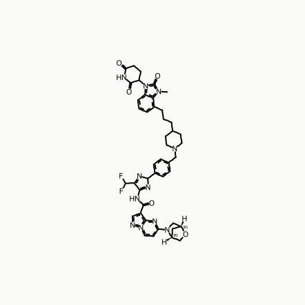 Cn1c(=O)n(C2CCC(=O)NC2=O)c2cccc(CCCC3CCN(Cc4ccc(C5N=C(NC(=O)c6cnn7ccc(N8C[C@H]9C[C@@H]8CO9)nc67)C(C(F)F)=N5)cc4)CC3)c21